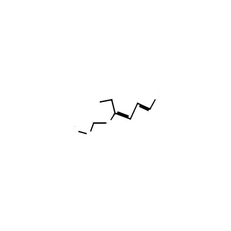 CC/C(=C\C=C\O)OCOC